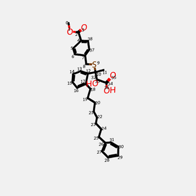 COC(=O)c1ccc(CSC(C)(c2ccccc2CCCCCCCCc2ccccc2)C(O)C(=O)O)cc1